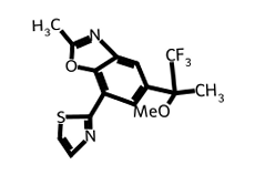 COC(C)(c1cc(-c2nccs2)c2oc(C)nc2c1)C(F)(F)F